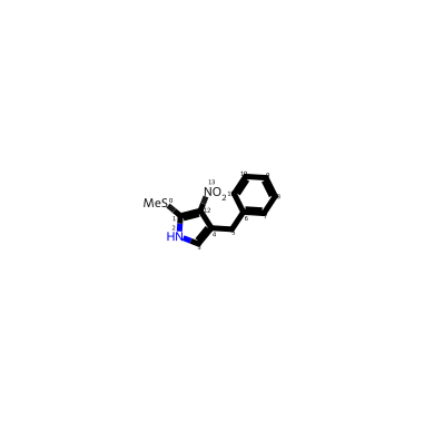 CSc1[nH]cc(Cc2ccccc2)c1[N+](=O)[O-]